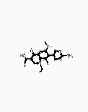 CCn1cc(C(=O)O)c(=O)c2cc(OC)c(-c3ccc(N)nc3)c(C)c21